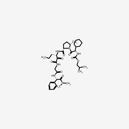 CCC[C@H](NC(=O)[C@@H]1CC[C@H](C)N1C(=O)[C@@H](NC(=O)OCC(C)C)C1CCCCC1)C(=O)C(=O)NCC(=O)N[C@H](C(=O)N(C)C)c1ccccc1